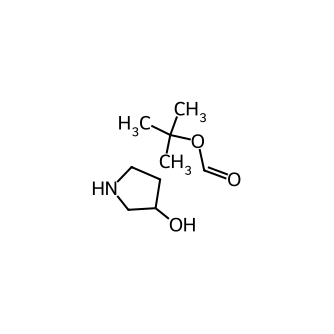 CC(C)(C)OC=O.OC1CCNC1